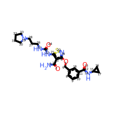 NC(=O)c1c(OCc2cccc(C(=O)NC3CC3)c2)nsc1NC(=O)NCCCN1CCCC1